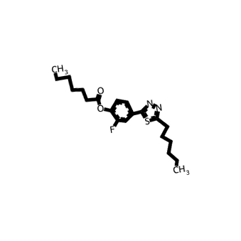 CCCCCCC(=O)Oc1ccc(-c2nnc(CCCCCC)s2)cc1F